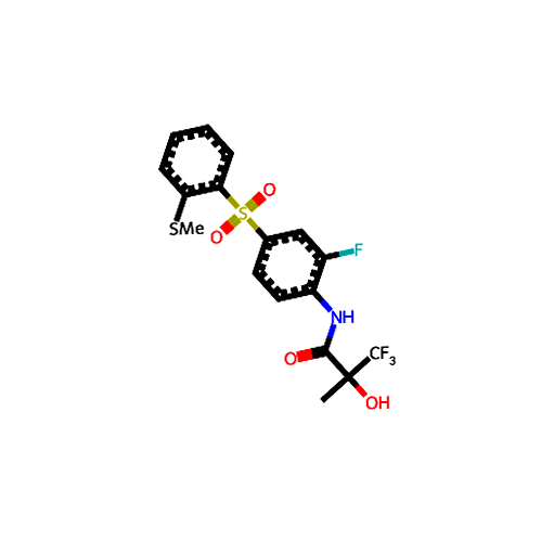 CSc1ccccc1S(=O)(=O)c1ccc(NC(=O)C(C)(O)C(F)(F)F)c(F)c1